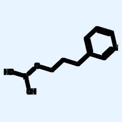 ON(O)OCCCc1cccnc1